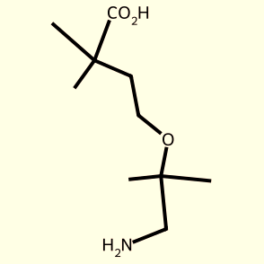 CC(C)(CN)OCCC(C)(C)C(=O)O